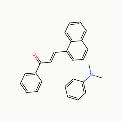 CN(C)c1ccccc1.O=C(C=Cc1cccc2ccccc12)c1ccccc1